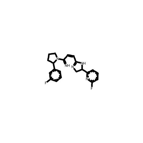 N=C(/C=C\C1=NCC(c2cccc(F)n2)N1)N1CCCC1c1cccc(F)c1